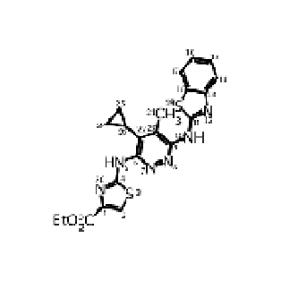 CCOC(=O)c1csc(Nc2nnc(Nc3nc4ccccc4s3)c(C)c2C2CC2)n1